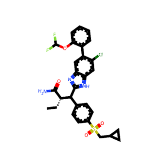 CC[C@H](C(N)=O)C(c1ccc(S(=O)(=O)CC2CC2)cc1)c1nc2cc(-c3ccccc3OC(F)F)c(Cl)cc2[nH]1